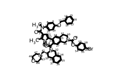 Cc1c(C(=O)N(C)c2ccc(OCc3ccccc3)cc2)cc(-c2cc3c(cc2C(=O)N2Cc4ccccc4C[C@H]2CN2CCOCC2)CN(C(=O)Oc2ccc(Br)cc2)CC3)n1C